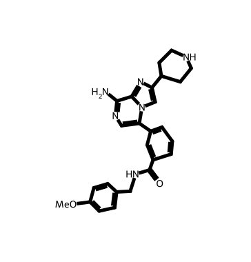 COc1ccc(CNC(=O)c2cccc(-c3cnc(N)c4nc(C5CCNCC5)cn34)c2)cc1